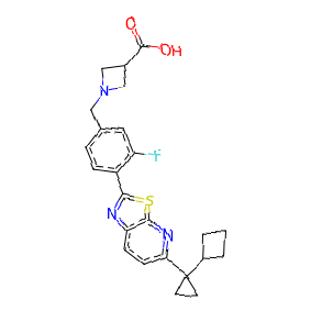 O=C(O)C1CN(Cc2ccc(-c3nc4ccc(C5(C6CCC6)CC5)nc4s3)c(F)c2)C1